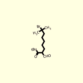 CC(C)(Br)CCCCCC(C=O)C(=O)C(C)(C)C